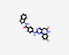 O=C1Cc2cnc(Nc3ccc(C(=O)N[C@@H]4CCc5ccccc54)cc3)nc2-c2ccc(Cl)cc2N1